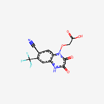 N#Cc1cc2c(cc1C(F)(F)F)[nH]c(=O)c(=O)n2OCC(=O)O